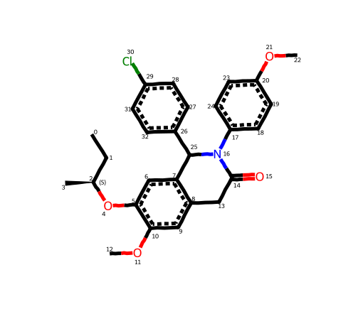 CC[C@H](C)Oc1cc2c(cc1OC)CC(=O)N(c1ccc(OC)cc1)C2c1ccc(Cl)cc1